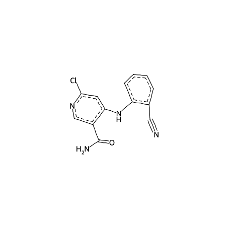 N#Cc1ccccc1Nc1cc(Cl)ncc1C(N)=O